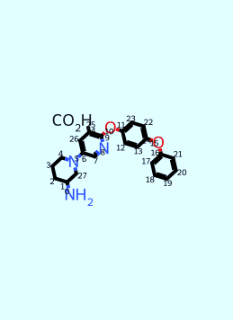 NC1CCCN(c2cnc(Oc3ccc(Oc4ccccc4)cc3)c(C(=O)O)c2)C1